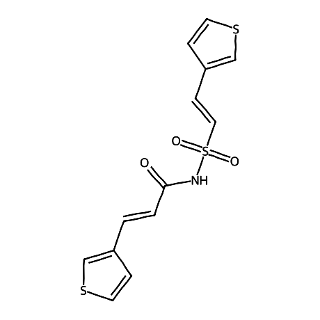 O=C(/C=C/c1ccsc1)NS(=O)(=O)/C=C/c1ccsc1